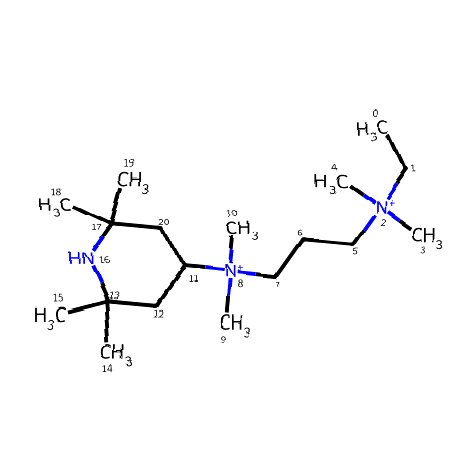 CC[N+](C)(C)CCC[N+](C)(C)C1CC(C)(C)NC(C)(C)C1